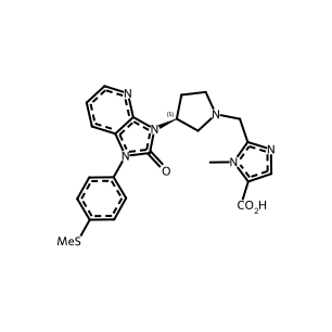 CSc1ccc(-n2c(=O)n([C@H]3CCN(Cc4ncc(C(=O)O)n4C)C3)c3ncccc32)cc1